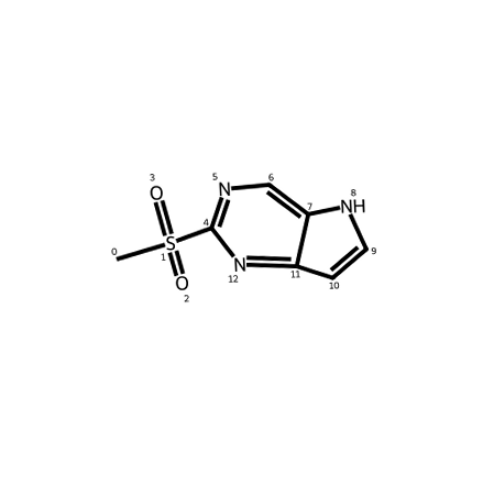 CS(=O)(=O)c1ncc2[nH]ccc2n1